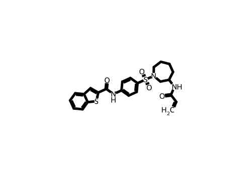 C=CC(=O)NC1CCCCN(S(=O)(=O)c2ccc(NC(=O)c3cc4ccccc4s3)cc2)C1